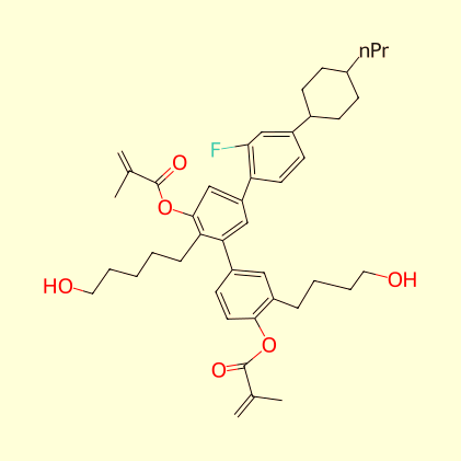 C=C(C)C(=O)Oc1ccc(-c2cc(-c3ccc(C4CCC(CCC)CC4)cc3F)cc(OC(=O)C(=C)C)c2CCCCCO)cc1CCCCO